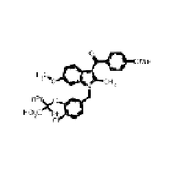 CCCC(CC)(Oc1cc(Cn2c(C)c(C(=O)c3ccc(OC)cc3)c3ccc(OC(F)(F)F)cc32)ccc1Cl)C(=O)O